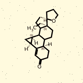 CC[C@]12CCC3C(C1CC[C@@]21CCCO1)[C@@H]1C[C@@H]1C1=CC(=O)CC[C@@H]13